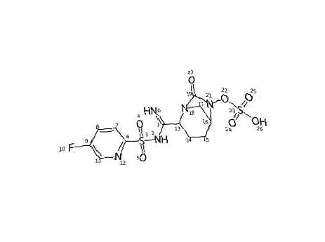 N=C(NS(=O)(=O)c1ccc(F)cn1)C1CCC2CN1C(=O)N2OS(=O)(=O)O